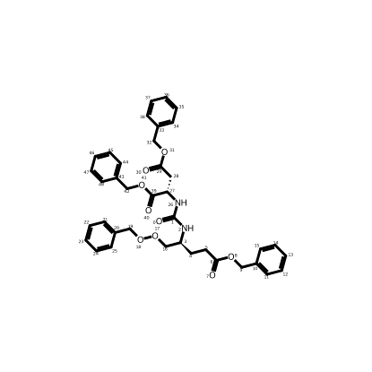 O=C(N[C@@H](CCC(=O)OCc1ccccc1)COOCc1ccccc1)N[C@@H](CC(=O)OCc1ccccc1)C(=O)OCc1ccccc1